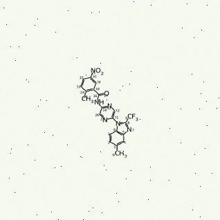 Cc1ccc2c(c1)nc(C(F)(F)F)n2-c1cnc(NC(=O)c2cc([N+](=O)[O-])ccc2C)cn1